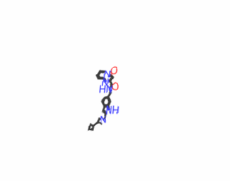 O=C(NCc1ccc2cc(CN3CC(C4CCC4)C3)[nH]c2c1)c1cc(=O)n2ccccc2n1